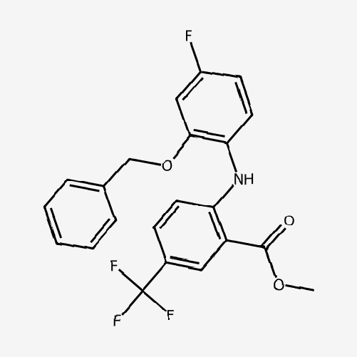 COC(=O)c1cc(C(F)(F)F)ccc1Nc1ccc(F)cc1OCc1ccccc1